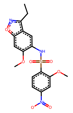 CCc1noc2cc(OC)c(NS(=O)(=O)c3ccc([N+](=O)[O-])cc3OC)cc12